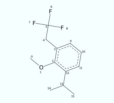 COc1c(CC(F)(F)F)cccc1C(C)C